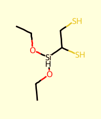 CCO[SiH](OCC)C(S)CS